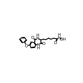 O=C(CCCCCC1NC(=O)c2cc(Oc3ccccc3)ccc2NC1=O)NO